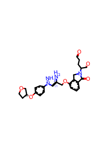 N/C(=C\N(N)c1ccc(O[C@@H]2CCOC2)cc1)COc1cccc2c1CN(C(C=O)CCC=O)C2=O